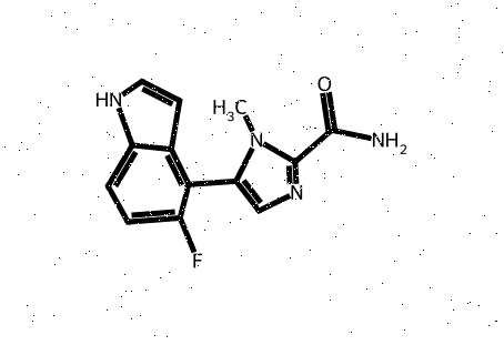 Cn1c(-c2c(F)ccc3[nH]ccc23)cnc1C(N)=O